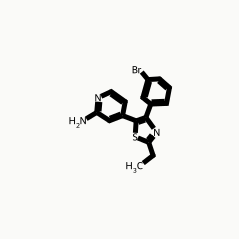 CCc1nc(-c2cccc(Br)c2)c(-c2ccnc(N)c2)s1